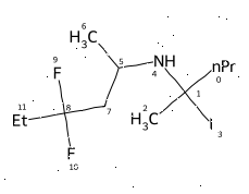 CCCC(C)(I)NC(C)CC(F)(F)CC